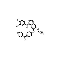 CCOc1cc2ncnc(Nc3ccc(F)c(Cl)c3)c2cc1OC1CCN(C(=O)N2CCOCC2)CC1